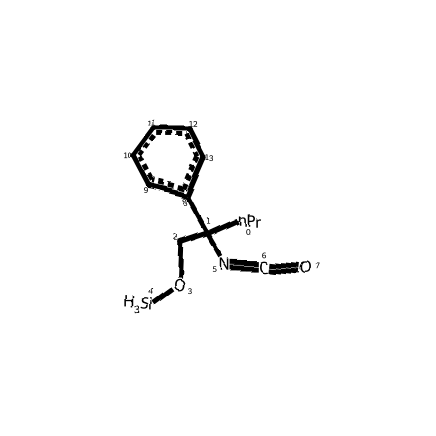 CCCC(CO[SiH3])(N=C=O)c1ccccc1